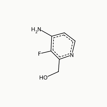 Nc1ccnc(CO)c1F